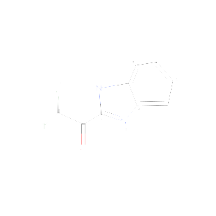 O=C(c1nc2ccccc2[nH]1)C(Cl)Cl